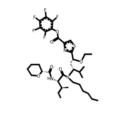 CCCCCCN(C(=O)[C@@H](NC(=O)[C@H]1CCCCO1)[C@@H](C)CC)[C@H](C[C@@H](OCC)c1nc(C(=O)Oc2c(F)c(F)c(F)c(F)c2F)cs1)C(C)C